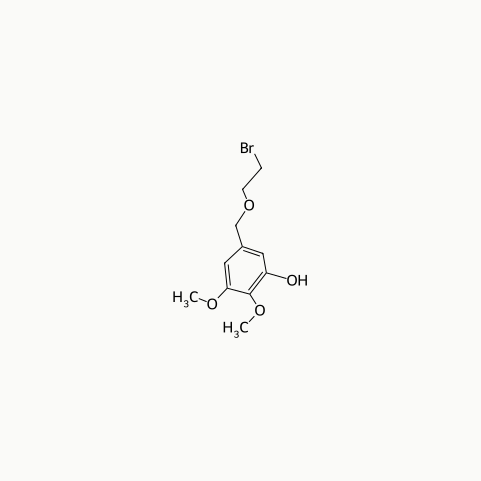 COc1cc(COCCBr)cc(O)c1OC